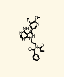 C=CC(=O)N(CCn1nc(-c2cnc(OC)c(F)c2)c2c(N)ncnc21)C(=O)c1ccccc1